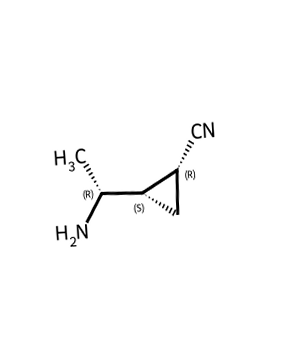 C[C@@H](N)[C@H]1C[C@H]1C#N